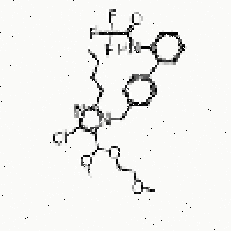 CCCCc1nc(Cl)c(C(OC)OCCOC)n1Cc1ccc(-c2ccccc2NC(=O)C(F)(F)F)cc1